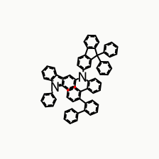 c1ccc(-c2ccccc2-c2ccccc2-c2ccccc2N(c2ccc3c(c2)C(c2ccccc2)(c2ccccc2)c2ccccc2-3)c2ccc3c(c2)c2ccccc2n3-c2ccccc2)cc1